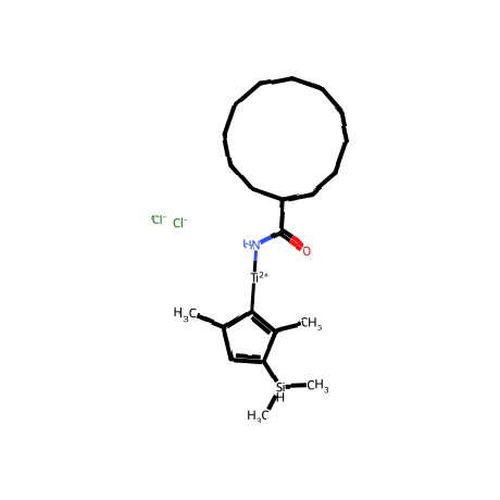 CC1=[C]([Ti+2][NH]C(=O)C2CCCCCCCCCCC2)C(C)C=C1[SiH](C)C.[Cl-].[Cl-]